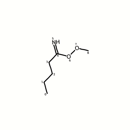 CCCCC(=N)OOC